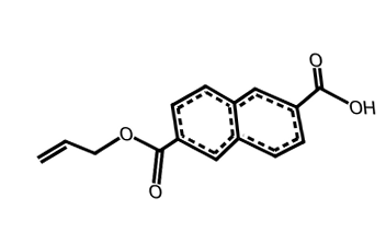 C=CCOC(=O)c1ccc2cc(C(=O)O)ccc2c1